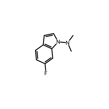 CN(C)n1ccc2ccc(F)cc21